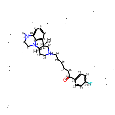 CN1CCN2c3c(cccc31)[C@@H]1CN(CCCCCC(=O)c3ccc(F)cc3)CC[C@@H]12